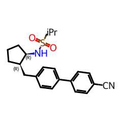 CC(C)S(=O)(=O)N[C@@H]1CCC[C@@H]1Cc1ccc(-c2ccc(C#N)cc2)cc1